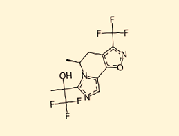 C[C@H]1Cc2c(C(F)(F)F)noc2-c2cnc(C(C)(O)C(F)(F)F)n21